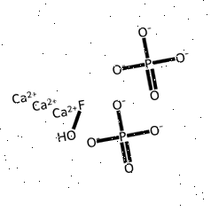 O=P([O-])([O-])[O-].O=P([O-])([O-])[O-].OF.[Ca+2].[Ca+2].[Ca+2]